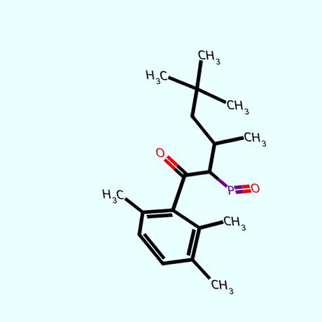 Cc1ccc(C)c(C(=O)C(P=O)C(C)CC(C)(C)C)c1C